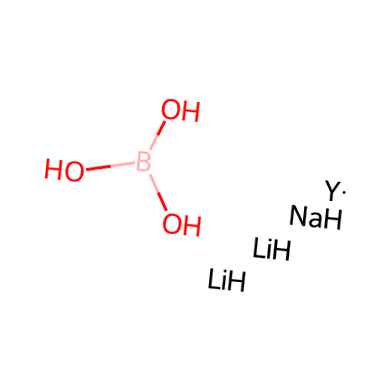 OB(O)O.[LiH].[LiH].[NaH].[Y]